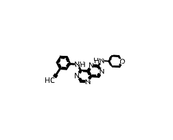 C#Cc1cccc(Nc2ncnc3cnc(NC4CCOCC4)nc23)c1